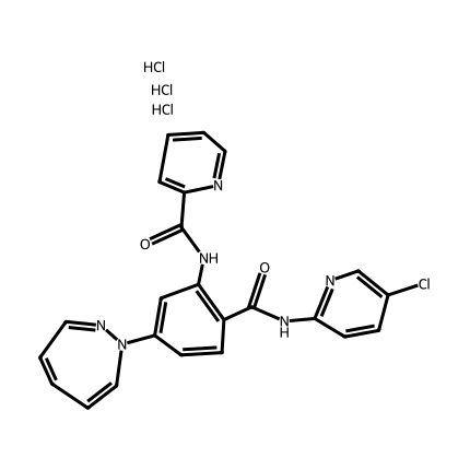 Cl.Cl.Cl.O=C(Nc1cc(N2C=CC=CC=N2)ccc1C(=O)Nc1ccc(Cl)cn1)c1ccccn1